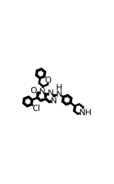 O=c1c(-c2ccccc2Cl)cc2cnc(Nc3ccc(C4=CCNCC4)cc3)nc2n1C1COc2ccccc2C1